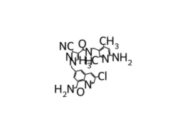 Cc1cc(N)nc(C)c1CNC(=O)c1cn(Cc2cc(C(N)=O)c3ncc(Cl)cc3c2)nc1C#N